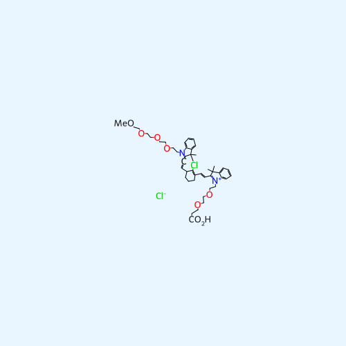 COCCOCCOCCOCCN1C(=C=CC2CCCC(/C=C/C3=[N+](CCOCCOCCC(=O)O)c4ccccc4C3(C)C)=C2Cl)C(C)(C)c2ccccc21.[Cl-]